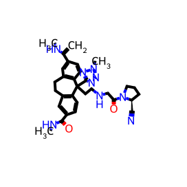 C=C(NC)c1ccc2c(c1)CCc1cc(C(=O)NC)ccc1C2(CCNCC(=O)N1CCC[C@H]1C#N)c1nnn(C)n1